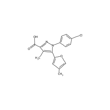 Cc1coc(-c2c(C)c(C(=O)O)nn2-c2ccc(Cl)cc2)c1